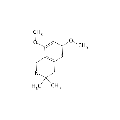 COc1cc2c(c(OC)c1)C=NC(C)(C)C2